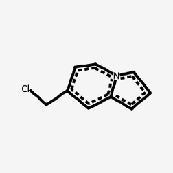 ClCc1ccn2cccc2c1